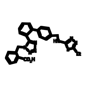 CCc1nnc(NCc2ccc(-c3ccccc3-c3nnnn3Cc3ccccc3C(=O)O)cc2)s1